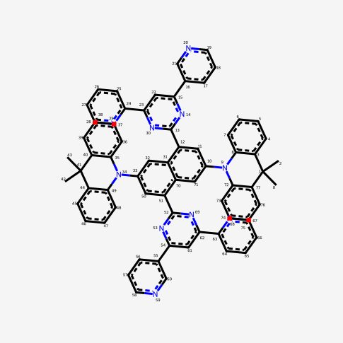 CC1(C)c2ccccc2N(c2cc(-c3nc(-c4cccnc4)cc(-c4ccccn4)n3)c3cc(N4c5ccccc5C(C)(C)c5ccccc54)cc(-c4nc(-c5cccnc5)cc(-c5ccccn5)n4)c3c2)c2ccccc21